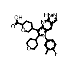 Cc1cc(-n2c(C3CCOCC3)c(C3CCC(C(=O)O)OC3)c3nc4[nH]ncc4cc32)ccc1F